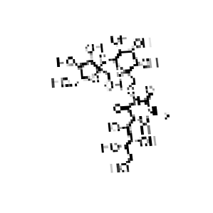 NC(=O)N(OC[C@H]1O[C@H](O[C@]2(CO)O[C@H](CO)[C@@H](O)[C@@H]2O)[C@H](O)[C@@H](O)[C@@H]1O)C(=O)[C@H](O)[C@@H](O)[C@H](O)[C@H](O)CO